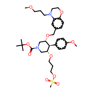 COCCCN1CCOc2ccc(CO[C@H]3CN(C(=O)OC(C)(C)C)C[C@@H](OCCCOS(C)(=O)=O)[C@@H]3c3ccc(OC)cc3)cc21